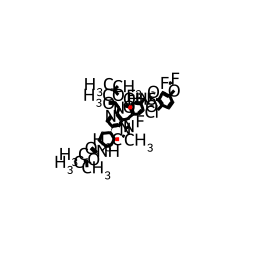 CC(C)n1nc(-c2cc(F)c(NS(=O)(=O)c3cc(OC(F)F)ccc3Cl)cc2F)c2c(N(C(=O)O)C(=O)OC(C)(C)C)ncc([C@H]3CC[C@H](NC(=O)OC(C)(C)C)CC3)c21